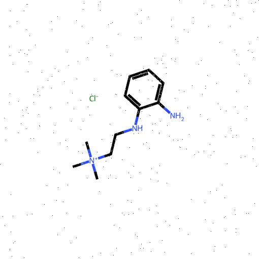 C[N+](C)(C)CCNc1ccccc1N.[Cl-]